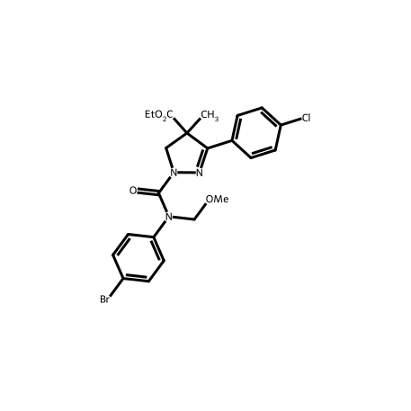 CCOC(=O)C1(C)CN(C(=O)N(COC)c2ccc(Br)cc2)N=C1c1ccc(Cl)cc1